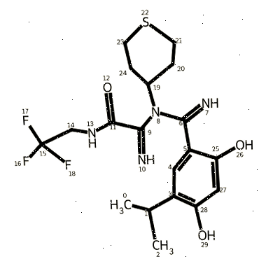 CC(C)c1cc(C(=N)N(C(=N)C(=O)NCC(F)(F)F)C2CCSCC2)c(O)cc1O